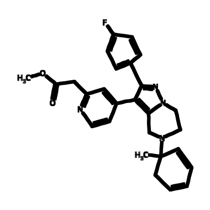 COC(=O)Cc1cc(-c2c(-c3ccc(F)cc3)nn3c2CN(C2(C)C=CC=CC2)CC3)ccn1